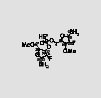 B[C@@H]1O[C@H](COP(=O)(S)O[C@@H]2C(F)[C@H](B)O[C@@H]2COC)[C@H](OC)C1F